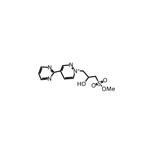 COS(=O)(=O)CC(O)C[n+]1ccc(-c2ncccn2)cn1